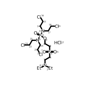 CCN(CC)CCS(=O)(=O)CCOP(=O)(N(CCCl)CCCl)N(CCCl)CCCl.Cl